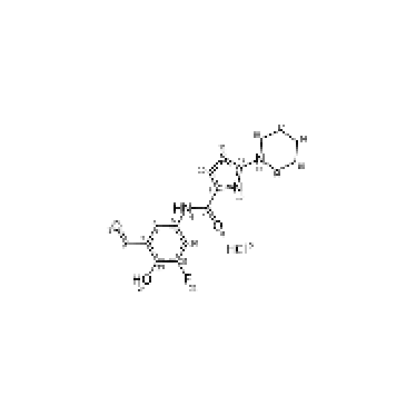 Cl.O=Cc1cc(NC(=O)c2csc(N3CCCCC3)n2)cc(F)c1O